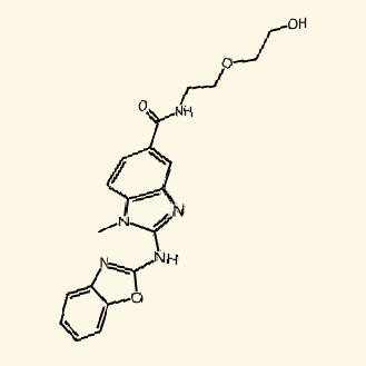 Cn1c(Nc2nc3ccccc3o2)nc2cc(C(=O)NCCOCCO)ccc21